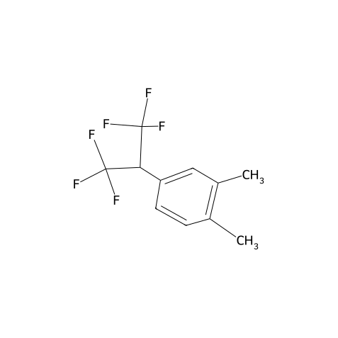 Cc1ccc(C(C(F)(F)F)C(F)(F)F)cc1C